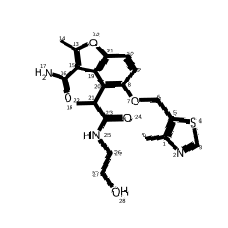 Cc1ncsc1COc1ccc2oc(C)c(C(N)=O)c2c1C(C)C(=O)NCCO